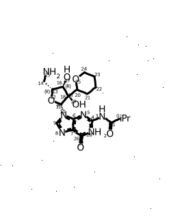 CC(C)C(=O)Nc1nc2c(ncn2[C@@H]2O[C@H](CN)[C@@H](O)[C@]2(O)C2CCCCO2)c(=O)[nH]1